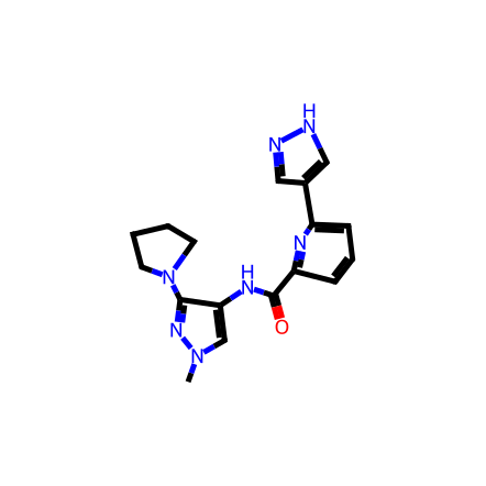 Cn1cc(NC(=O)c2cccc(-c3cn[nH]c3)n2)c(N2CCCC2)n1